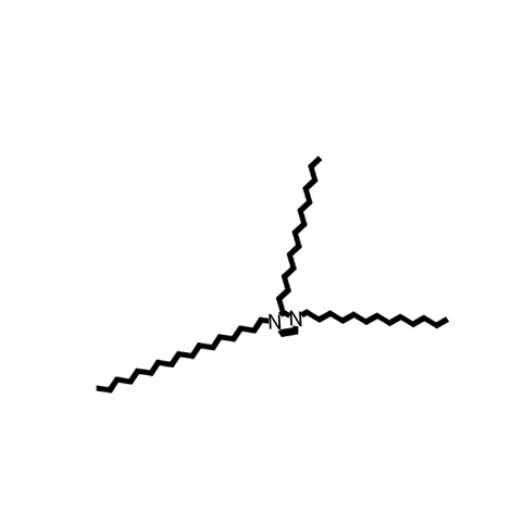 CCCCCCCCCCCCCCCCCN1C=CN(CCCCCCCCCCCCC)C1CCCCCCCCCCCCCC